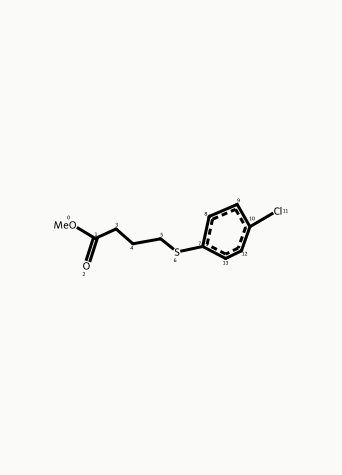 COC(=O)CCCSc1ccc(Cl)cc1